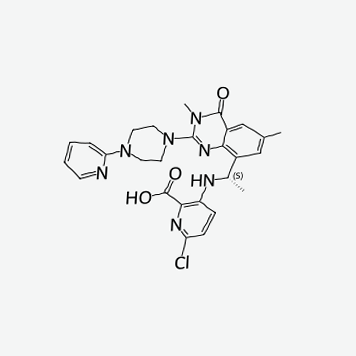 Cc1cc([C@H](C)Nc2ccc(Cl)nc2C(=O)O)c2nc(N3CCN(c4ccccn4)CC3)n(C)c(=O)c2c1